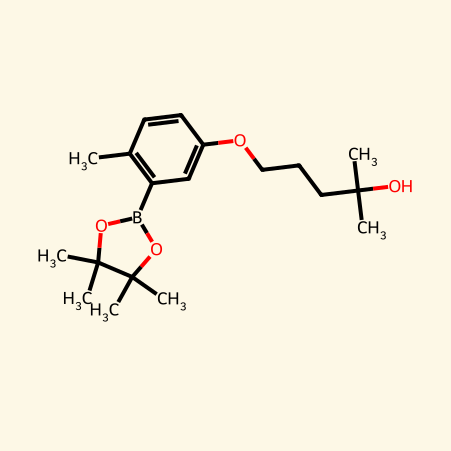 Cc1ccc(OCCCC(C)(C)O)cc1B1OC(C)(C)C(C)(C)O1